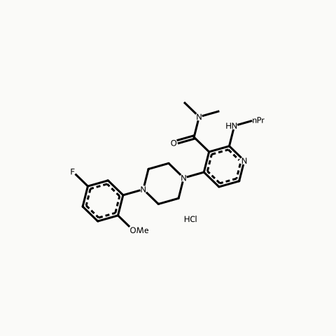 CCCNc1nccc(N2CCN(c3cc(F)ccc3OC)CC2)c1C(=O)N(C)C.Cl